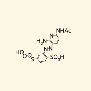 CC(=O)Nc1ccc(/N=N/c2cc(SOOO)ccc2S(=O)(=O)O)c(N)n1